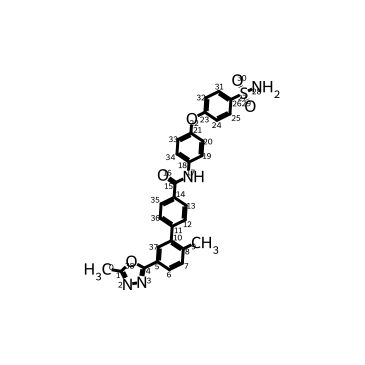 Cc1nnc(-c2ccc(C)c(-c3ccc(C(=O)Nc4ccc(Oc5ccc(S(N)(=O)=O)cc5)cc4)cc3)c2)o1